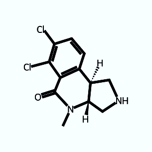 CN1C(=O)c2c(ccc(Cl)c2Cl)[C@H]2CNC[C@@H]21